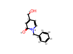 O=c1cc(CO)ccn1Cc1ccccc1